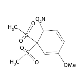 COC1=CC(S(C)(=O)=O)(S(C)(=O)=O)C([N+](=O)[O-])C=C1